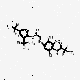 CCC(CNc1cc(Cl)c(NC(=O)C(F)(F)C(F)(F)F)c([N+](=O)[O-])c1O)Oc1ccc(C(C)(C)CC)cc1C(C)(C)CC